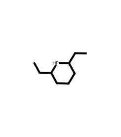 CCC1CCCC(CC)P1